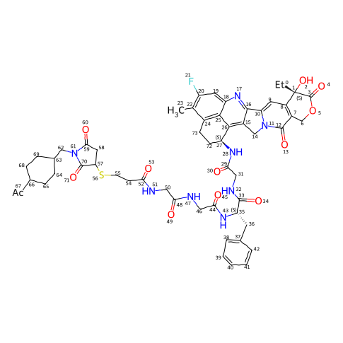 CC[C@@]1(O)C(=O)OCc2c1cc1n(c2=O)Cc2c-1nc1cc(F)c(C)c3c1c2[C@@H](NC(=O)CNC(=O)[C@H](Cc1ccccc1)NC(=O)CNC(=O)CNC(=O)CCSC1CC(=O)N(CC2CCC(C(C)=O)CC2)C1=O)CC3